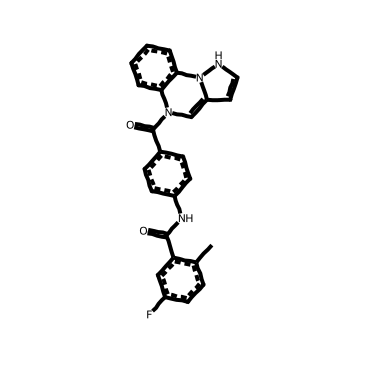 Cc1ccc(F)cc1C(=O)Nc1ccc(C(=O)N2C=C3C=CNN3c3ccccc32)cc1